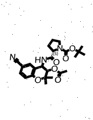 CC(=O)OC1C(NC(=O)[C@@H]2CCCN2C(=O)OC(C)(C)C)c2cc(C#N)ccc2OC1(C)C